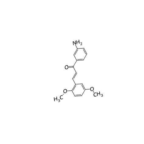 COc1ccc(OC)c(/C=C/C(=O)c2cccc(N)c2)c1